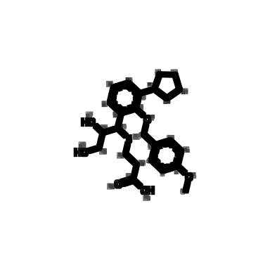 COc1ccc(COc2c(C3CCCC3)cccc2C(SCCC(=O)O)C(O)CO)cc1